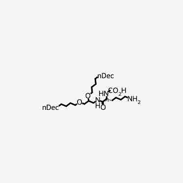 CCCCCCCCCCCCCCOCC(CNC(=O)[C@@H](CCCCN)NC(=O)O)OCCCCCCCCCCCCCC